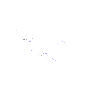 Cc1c(CN2CCC(Nc3ncnc4sc(CC(F)(F)F)cc34)CC2)ccc2c1cc(C#N)n2CC(C)N1CCN([S+]([O-])N(O)CCC2CC2)CC1